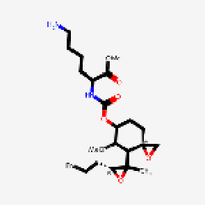 COC(=O)C(CCCCN)NC(=O)OC1CC[C@]2(CO2)C(C2(C)O[C@@H]2CCC(C)C)C1OC